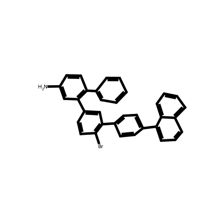 Nc1ccc(-c2ccccc2)c(-c2ccc(Br)c(-c3ccc(-c4cccc5ccccc45)cc3)c2)c1